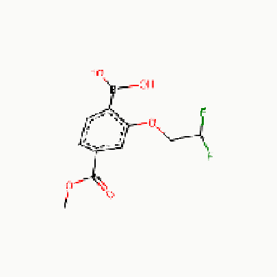 COC(=O)c1ccc(B(O)O)c(OCC(F)F)c1